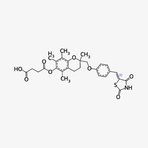 Cc1c(C)c2c(c(C)c1OC(=O)CCC(=O)O)CCC(C)(COc1ccc(/C=C3\SC(=O)NC3=O)cc1)O2